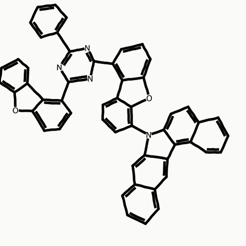 c1ccc(-c2nc(-c3cccc4oc5ccccc5c34)nc(-c3cccc4oc5c(-n6c7cc8ccccc8cc7c7c8ccccc8ccc76)cccc5c34)n2)cc1